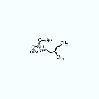 CCCCO[SiH](OCCCC)OCCC(C)CCN